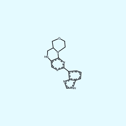 c1cc(-c2ncc3c(n2)N2CCOCC2CN3)c2nc[nH]c2c1